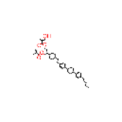 C=C(C)C(=O)OCC(CCOC(=O)C(=C)CO)C1CCC(CCc2ccc(C3CCC(c4ccc(CCCCC)cc4)CC3)cc2)CC1